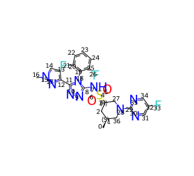 C[C@H]1C[C@@H](S(=O)(=O)Nc2nnc(-c3ccn(C)n3)n2-c2c(F)cccc2F)CN(c2ncc(F)cn2)C1